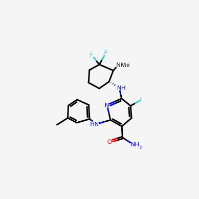 CNC1[C@H](Nc2nc(Nc3cccc(C)c3)c(C(N)=O)cc2F)CCCC1(F)F